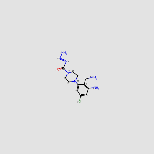 NCc1c(N)cc(Cl)cc1N1CCN(C(=O)N=NN)CC1